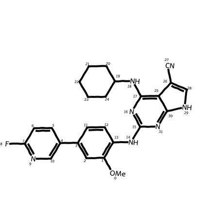 COc1cc(-c2ccc(F)nc2)ccc1Nc1nc(NC2CCCCC2)c2c(C#N)c[nH]c2n1